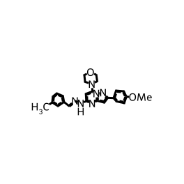 COc1ccc(-c2cc3nc(NN=Cc4cccc(C)c4)cc(N4CCOCC4)n3n2)cc1